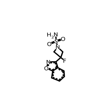 NS(=O)(=O)N1CC(F)(c2noc3ccccc23)C1